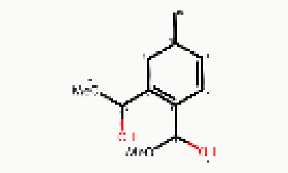 COC(O)C1=C(C(O)OC)CC(C)C=C1